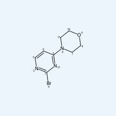 Brc1nccc(N2CCOCC2)n1